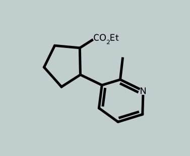 CCOC(=O)C1CCCC1c1cccnc1C